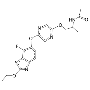 CCOc1nc2ccc(Oc3cnc(OCC(C)NC(C)=O)cn3)c(F)c2s1